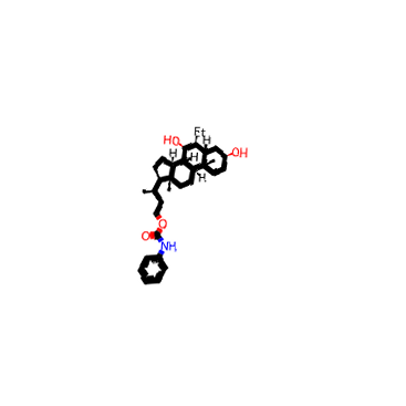 CC[C@H]1[C@@H](O)[C@@H]2[C@H](CC[C@]3(C)[C@@H]([C@H](C)CCOC(=O)Nc4ccccc4)CC[C@@H]23)[C@@]2(C)CC[C@@H](O)C[C@@H]12